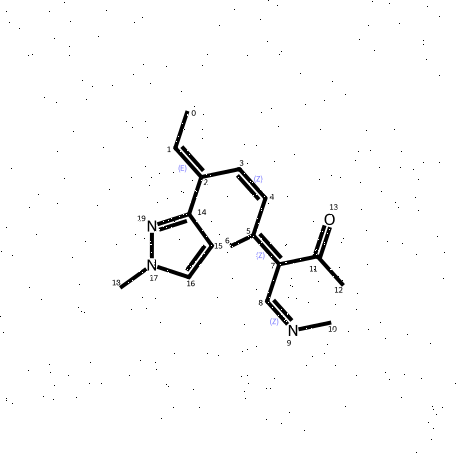 C\C=C(/C=C\C(C)=C(\C=N/C)C(C)=O)c1ccn(C)n1